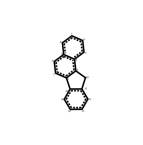 [c]1cc2c(c3ccccc13)Cc1ccccc1-2